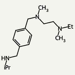 CCN(C)CCN(C)Cc1ccc(CNC(C)C)cc1